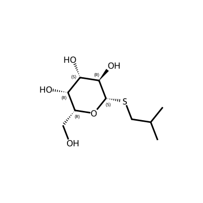 CC(C)CS[C@@H]1O[C@H](CO)[C@H](O)[C@H](O)[C@H]1O